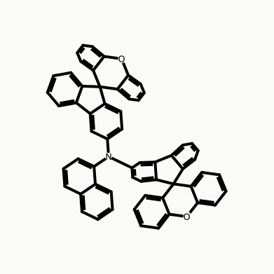 c1ccc2c(c1)Oc1ccccc1C21c2ccccc2-c2cc(N(c3ccc4c(c3)-c3ccccc3C43c4ccccc4Oc4ccccc43)c3cccc4ccccc34)ccc21